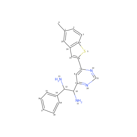 Cc1ccc2sc(-c3cc(C(N)C(N)c4ccccc4)ncn3)cc2c1